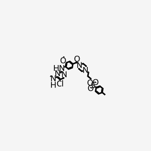 CNc1nc(Nc2ccc(C(=O)N3CCN(CCCOS(=O)(=O)c4ccc(C)cc4)CC3)cc2OC)ncc1Cl